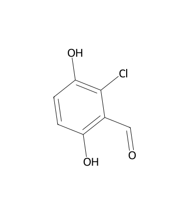 O=Cc1c(O)ccc(O)c1Cl